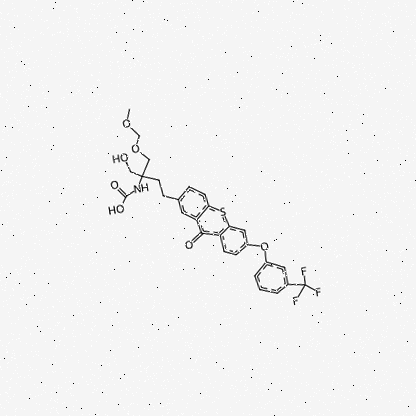 COCOCC(CO)(CCc1ccc2sc3cc(Oc4cccc(C(F)(F)F)c4)ccc3c(=O)c2c1)NC(=O)O